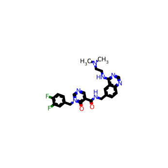 CN(C)CCNc1ncnc2ccc(CNC(=O)c3cncn(Cc4ccc(F)c(F)c4)c3=O)cc12